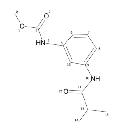 COC(=O)Nc1cccc(NC(=O)C(C)C)c1